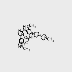 C=CC(=O)Nc1cc(Nc2nccc(-c3ccc4c(cnn4C)c3)n2)c(OC)cc1N1CCC(N2CCN(C)CC2)CC1